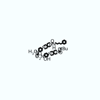 CC(C)(C)OC(=O)N1CCC2(CC1)CCN(c1ccc([N+](=O)[O-])c(O)c1)CC2.Cn1c(=O)oc2cc(N3CCC4(CCN(C(=O)NCCCCc5ccccc5)CC4)CC3)ccc21